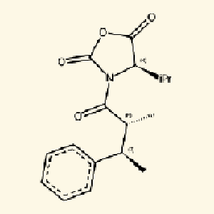 CC(C)[C@@H]1C(=O)OC(=O)N1C(=O)[C@H](C)[C@@H](C)c1ccccc1